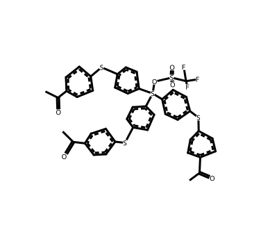 CC(=O)c1ccc(Sc2ccc(S(OS(=O)(=O)C(F)(F)F)(c3ccc(Sc4ccc(C(C)=O)cc4)cc3)c3ccc(Sc4ccc(C(C)=O)cc4)cc3)cc2)cc1